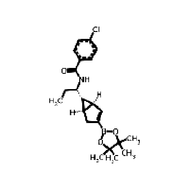 CCC(NC(=O)c1ccc(Cl)cc1)[C@@H]1[C@H]2C=C(B3OC(C)(C)C(C)(C)O3)C[C@H]21